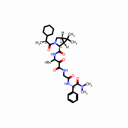 CCCCC(NC(=O)[C@@H]1[C@@H]2[C@H](CN1C(=O)[C@@H](C)C1CCCCC1)C2(C)C)C(=O)C(=O)NCC(=O)N[C@H](C(=O)N(C)C)c1ccccc1